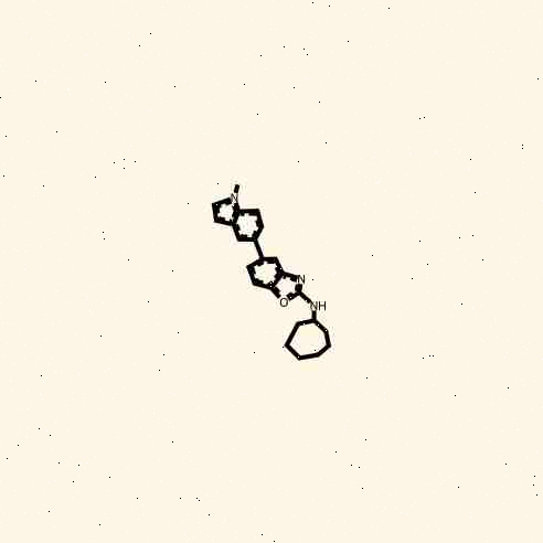 Cn1ccc2cc(-c3ccc4oc(NC5CCCCCC5)nc4c3)ccc21